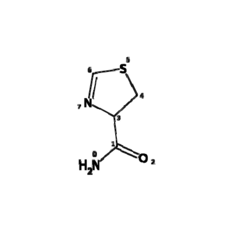 NC(=O)C1CSC=N1